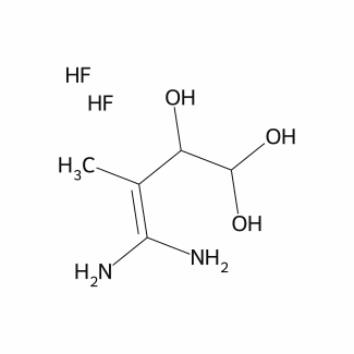 CC(=C(N)N)C(O)C(O)O.F.F